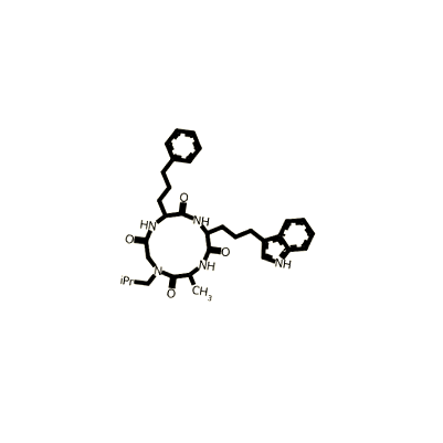 CC(C)CN1CC(=O)NC(CCCc2ccccc2)C(=O)NC(CCCc2c[nH]c3ccccc23)C(=O)NC(C)C1=O